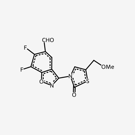 COCc1cn(-c2noc3c(F)c(F)c(C=O)cc23)c(=O)s1